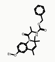 CCOc1ccc2c(c1)C(C)=CC(C)(C)N2C(=O)C(C)NC(=O)OCc1ccccc1